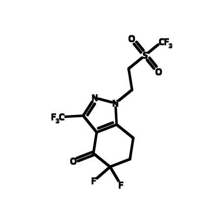 O=C1c2c(C(F)(F)F)nn(CCS(=O)(=O)C(F)(F)F)c2CCC1(F)F